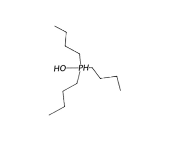 CCCC[PH](O)(CCCC)CCCC